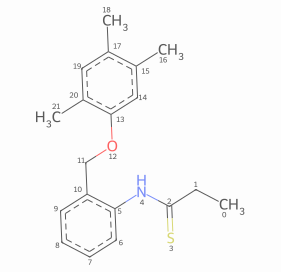 CCC(=S)Nc1ccccc1COc1cc(C)c(C)cc1C